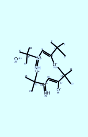 CC(C)(C)C([O-])=C[N+](=N)C(C)(C)C.CC(C)(C)C([O-])=C[N+](=N)C(C)(C)C.[Cr+2]